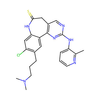 Cc1ncccc1Nc1ncc2c(n1)-c1cc(CCCN(C)C)c(Cl)cc1NC(=S)C2